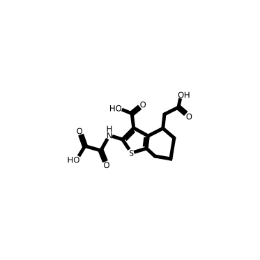 O=C(O)CC1CCCc2sc(NC(=O)C(=O)O)c(C(=O)O)c21